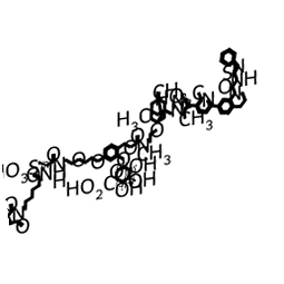 Cc1c(-c2ccc(-c3ccc4c(c3)N(C(=O)Nc3nc5ccccc5s3)CCC4)nc2C(=O)O)cnn1CC12CC3(C)CC(C)(C1)CC(OCCN(C)C(=O)OCc1ccc(OCCOCCNC(=O)[C@H](CS(=O)(=O)O)NC(=O)CCCCCN4C(=O)C=CC4=O)cc1O[C@@H]1OC(C(=O)O)[C@@H](O)[C@H](O)[C@H]1O)(C3)C2